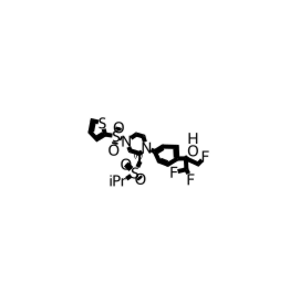 CC(C)S(=O)(=O)C[C@H]1CN(S(=O)(=O)c2cccs2)CCN1c1ccc(C(O)(CF)C(F)F)cc1